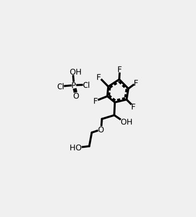 O=P(O)(Cl)Cl.OCCOCC(O)c1c(F)c(F)c(F)c(F)c1F